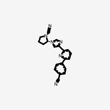 N#Cc1ccc(-c2cccc(-c3cn([C@@H]4CCCN4C#N)cn3)n2)cc1